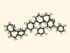 c1ccc(-c2cc(-c3ccccc3)c3c(ccc4ccc(-c5ccc(-c6ccc7ccc8cccnc8c7n6)cc5)cc43)n2)cc1